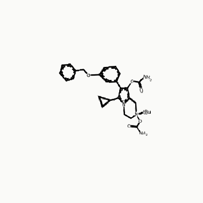 CC(C)(C)[N+]1(OC(N)=O)CCn2c(c(OC(N)=O)c(-c3cccc(OCc4ccccc4)c3)c2C2CC2)C1